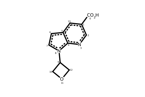 O=C(O)c1cnc2c(ccn2C2COC2)c1